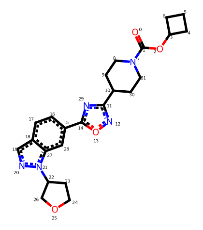 O=C(OC1CCC1)N1CCC(c2noc(-c3ccc4cnn(C5CCOC5)c4c3)n2)CC1